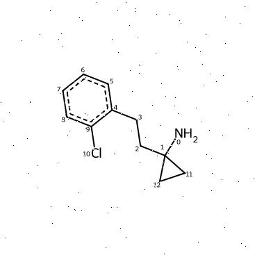 NC1(CCc2ccccc2Cl)CC1